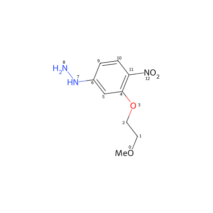 COCCOc1cc(NN)ccc1[N+](=O)[O-]